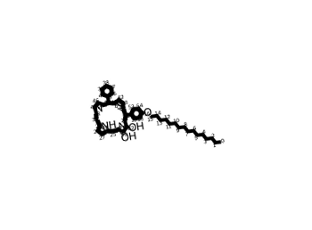 CCCCCCCCCCCCCCCCOc1ccc(-c2c3nc(cc4ccc(cc5nc(c(-c6ccccc6)c6ccc2s6)C=C5)[nH]4)C(O)C3O)cc1